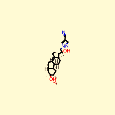 COC[C@H]1C[C@H]2[C@H](CC[C@@H]3[C@@H]2CC[C@@]2(C)[C@H]3CC[C@@H]2[C@](C)(O)Cn2cc(C#N)cn2)C[C@]1(C)O